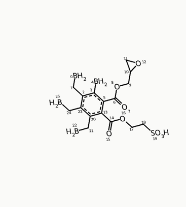 BCc1c(B)c(C(=O)OCC2CO2)c(C(=O)OCCS(=O)(=O)O)c(CB)c1CB